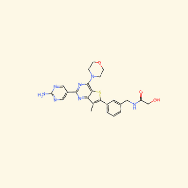 Cc1c(-c2cccc(CNC(=O)CO)c2)sc2c(N3CCOCC3)nc(-c3cnc(N)nc3)nc12